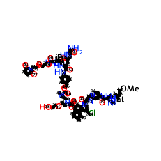 CCC(C)(CCOC)n1cc(C(=O)Nc2ccn3cc(C(=O)N4C[C@@H](CCl)c5c4cc(OC(=O)N(CCOCCO)CCN(C)C(=O)OCc4ccc(NC(=O)[C@H](CCCNC(N)=O)NC(=O)[C@@H](NC(=O)OCCOCCN6C(=O)C=CC6=O)C(C)C)cc4)c4cccc(C)c54)nc3c2)nn1